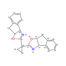 c1ccc2c(c1)CC1OC(C3(C4=NC5c6ccccc6CC5O4)CC3)=NC21